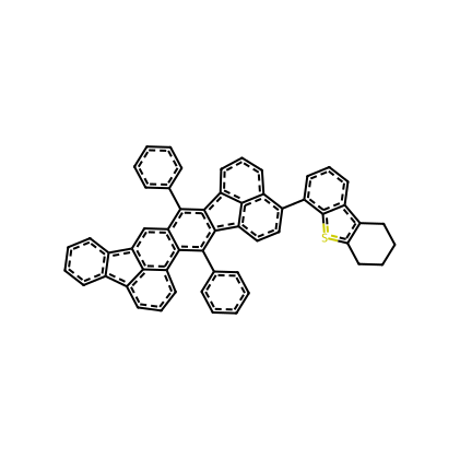 c1ccc(-c2c3cc4c5ccccc5c5cccc(c3c(-c3ccccc3)c3c6ccc(-c7cccc8c9c(sc78)CCCC9)c7cccc(c23)c76)c54)cc1